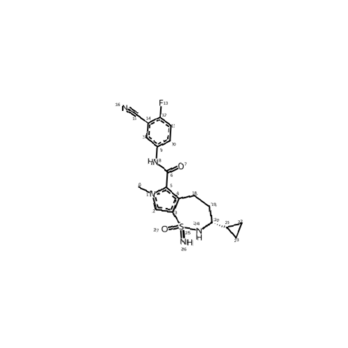 Cn1cc2c(c1C(=O)Nc1ccc(F)c(C#N)c1)CC[C@H](C1CC1)NS2(=N)=O